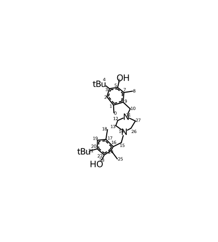 Cc1cc(C(C)(C)C)c(O)c(C)c1CN1CCN(Cc2c(C)cc(C(C)(C)C)c(O)c2C)CC1